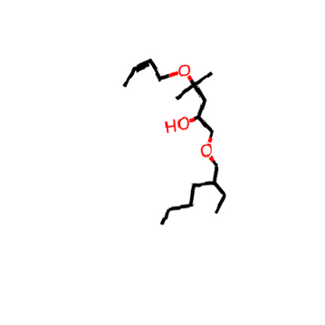 C/C=C\COC(C)(C)CC(O)COCC(CC)CCCC